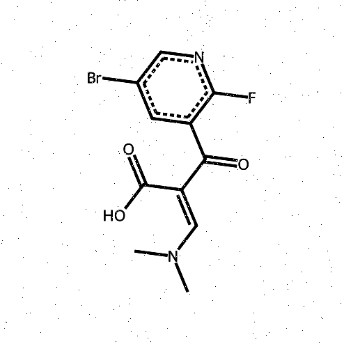 CN(C)C=C(C(=O)O)C(=O)c1cc(Br)cnc1F